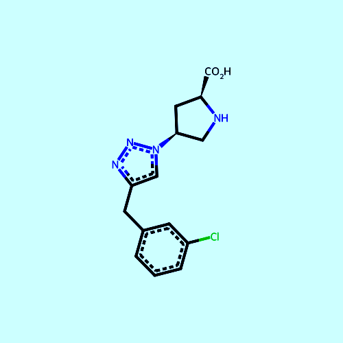 O=C(O)[C@@H]1C[C@H](n2cc(Cc3cccc(Cl)c3)nn2)CN1